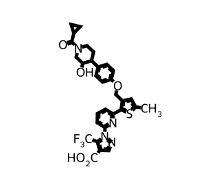 Cc1cc(COc2ccc(C3CCN(C(=O)C4CC4)CC3O)cc2)c(-c2cccc(-n3ncc(C(=O)O)c3C(F)(F)F)n2)s1